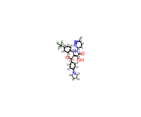 Cc1ccc(N2C(=O)C(O)=C(C(=O)c3ccc(N4CCCC4)cc3)C2c2ccc(C(C)(F)F)cc2)nn1